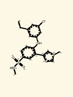 CCc1cc(Cl)cc(Nc2ccc(S(=O)(=O)NC)cc2-c2cn(C)cn2)c1